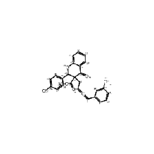 COC(=O)C1(CC=C=Cc2cccc(C)c2)C(=O)c2ccccc2OC1c1ccc(Cl)cc1